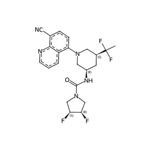 CC(F)(F)[C@H]1C[C@@H](NC(=O)N2C[C@@H](F)[C@@H](F)C2)CN(c2ccc(C#N)c3ncccc23)C1